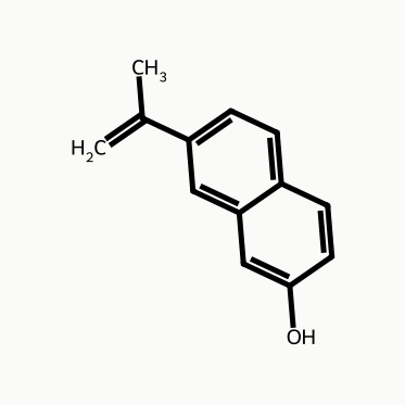 C=C(C)c1ccc2ccc(O)cc2c1